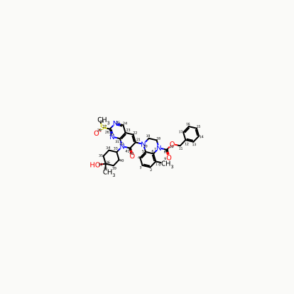 Cc1cccc2c1N(C(=O)OCc1ccccc1)CCN2c1cc2cnc([S+](C)[O-])nc2n(C2CCC(C)(O)CC2)c1=O